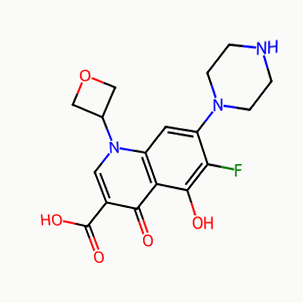 O=C(O)c1cn(C2COC2)c2cc(N3CCNCC3)c(F)c(O)c2c1=O